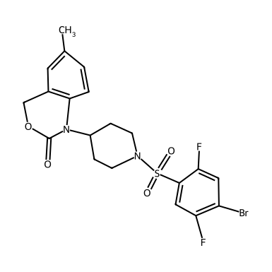 Cc1ccc2c(c1)COC(=O)N2C1CCN(S(=O)(=O)c2cc(F)c(Br)cc2F)CC1